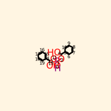 O=[PH](OC(O)c1ccccc1)OC(O)c1ccccc1